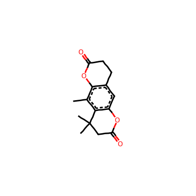 Cc1c2c(cc3c1C(C)(C)CC(=O)O3)CCC(=O)O2